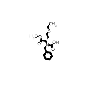 CCSCC[C@@H](C(=O)OC)N(Cc1ccccc1)C(=O)O